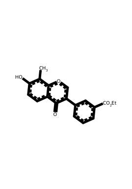 CCOC(=O)c1cccc(-c2coc3c(C)c(O)ccc3c2=O)c1